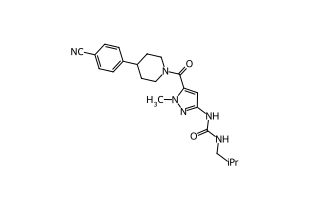 CC(C)CNC(=O)Nc1cc(C(=O)N2CCC(c3ccc(C#N)cc3)CC2)n(C)n1